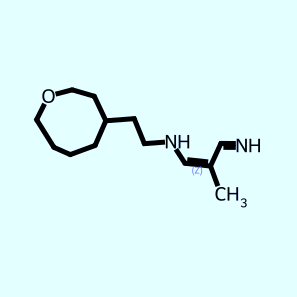 C/C(C=N)=C/NCCC1CCCCOCC1